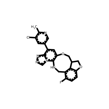 Cc1ncc(-c2cc3c(n4cnnc24)NCc2c(F)ccc4c2C(CO4)CO3)cc1Cl